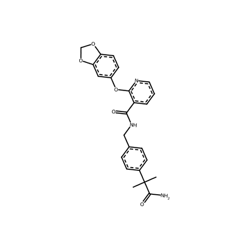 CC(C)(C(N)=O)c1ccc(CNC(=O)c2cccnc2Oc2ccc3c(c2)OCO3)cc1